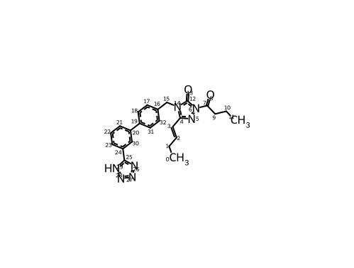 CC/C=C/c1nn(C(=O)CCC)c(=O)n1Cc1ccc(-c2cccc(-c3nnn[nH]3)c2)cc1